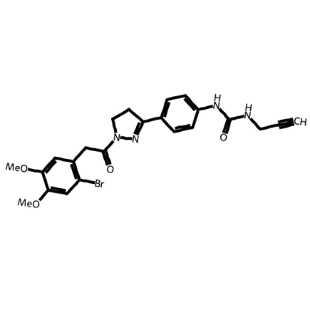 C#CCNC(=O)Nc1ccc(C2=NN(C(=O)Cc3cc(OC)c(OC)cc3Br)CC2)cc1